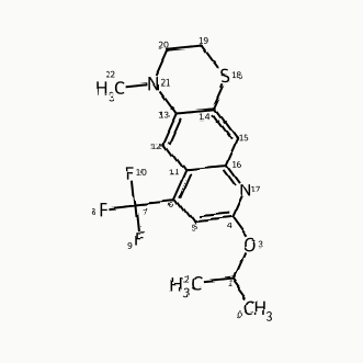 CC(C)Oc1cc(C(F)(F)F)c2cc3c(cc2n1)SCCN3C